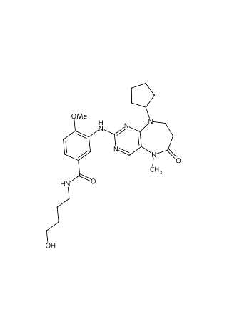 COc1ccc(C(=O)NCCCCO)cc1Nc1ncc2c(n1)N(C1CCCC1)CCC(=O)N2C